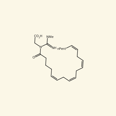 CCCCC/C=C\C/C=C\C/C=C\C/C=C\CCCC(=O)N(CC(=O)O)C(=N)NC